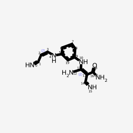 N=C/C=C\Nc1cccc(N/C(N)=C(/C=N)C(N)=O)c1